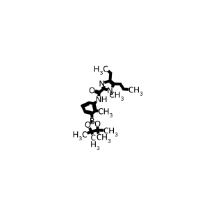 CCCc1c(CC)nc(C(=O)Nc2cccc(B3OC(C)(C)C(C)(C)O3)c2C)n1C